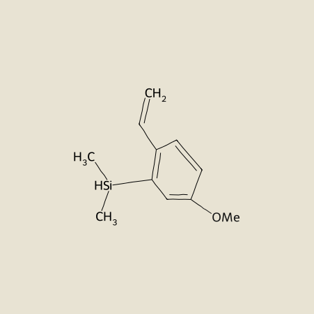 C=Cc1ccc(OC)cc1[SiH](C)C